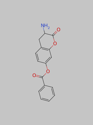 NC1Cc2ccc(OC(=O)c3ccccc3)cc2OC1=O